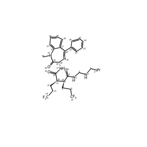 CC(C)CNCNC(=O)[C@@H](CCC(F)(F)F)[C@@H](CCC(F)(F)F)C(=O)N[C@H]1N=C(c2ccccc2)c2ccccc2N(C)C1=O